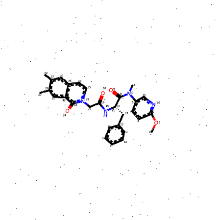 COc1ccc(N(C)C(=O)[C@H](Cc2ccccc2)NC(=O)Cn2ccc3cc(C)c(C)cc3c2=O)cn1